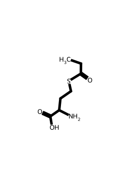 CCC(=O)SCCC(N)C(=O)O